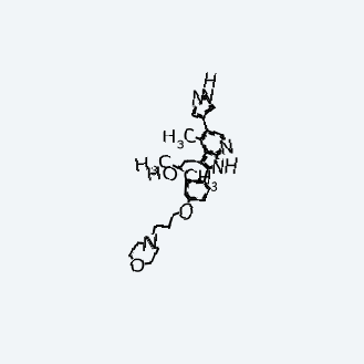 Cc1c(-c2cn[nH]c2)cnc2[nH]c(-c3ccc(OCCCN4CCOCC4)cc3)c(CC(C)(C)O)c12